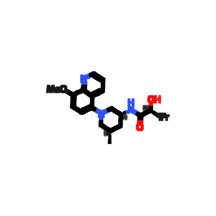 COc1ccc(N2C[C@@H](C)C[C@@H](NC(=O)[C@@H](O)C(C)C)C2)c2cccnc12